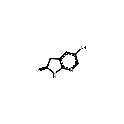 Nc1cnc2c(c1)CC(=O)N2